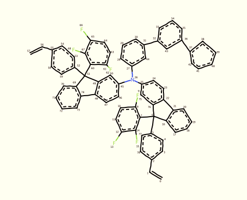 C=Cc1ccc(C2(c3c(F)ccc(F)c3F)c3ccccc3-c3ccc(N(c4cccc(-c5cccc(-c6ccccc6)c5)c4)c4ccc5c(c4)C(c4ccc(C=C)cc4)(c4c(F)ccc(F)c4F)c4ccccc4-5)cc32)cc1